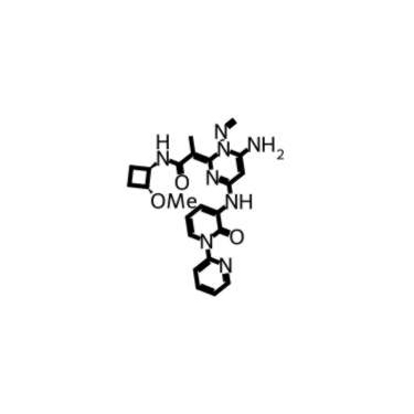 C=NN1C(N)=CC(Nc2cccn(-c3ccccn3)c2=O)=N/C1=C(/C)C(=O)N[C@@H]1CC[C@H]1OC